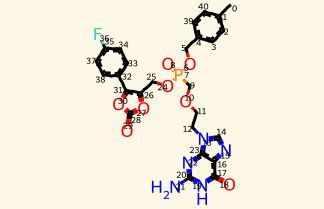 Cc1ccc(COP(=O)(COCCn2cnc3c(=O)[nH]c(N)nc32)OCc2oc(=O)oc2-c2ccc(F)cc2)cc1